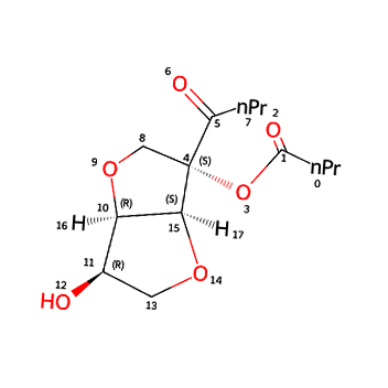 CCCC(=O)O[C@@]1(C(=O)CCC)CO[C@@H]2[C@H](O)CO[C@@H]21